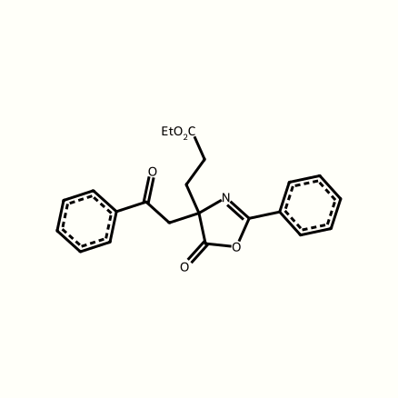 CCOC(=O)CCC1(CC(=O)c2ccccc2)N=C(c2ccccc2)OC1=O